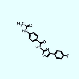 CC(=O)Nc1ccc(C(=O)Nc2nc(-c3ccc(F)cc3)cs2)cc1